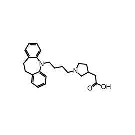 O=C(O)CC1CCN(CCCCN2c3ccccc3CCc3ccccc32)C1